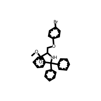 COC(=O)C(COc1ccc(Br)cc1)NC(c1ccccc1)(c1ccccc1)c1ccccc1